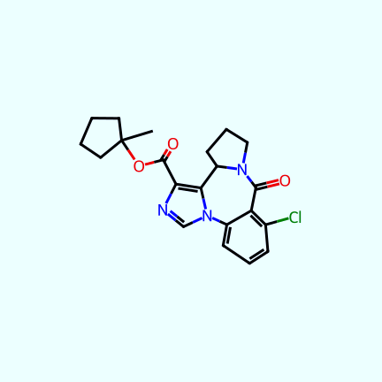 CC1(OC(=O)c2ncn3c2C2CCCN2C(=O)c2c(Cl)cccc2-3)CCCC1